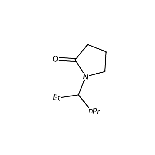 CCCC(CC)N1CCCC1=O